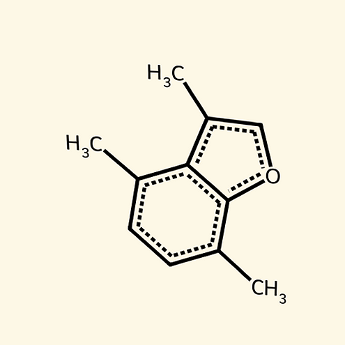 Cc1ccc(C)c2c(C)coc12